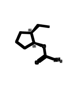 CC[C@@H]1CCC[C@@H]1OC(N)=O